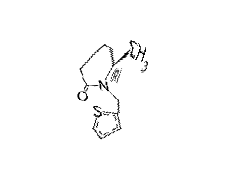 C[C@@H]1CCC(=O)N1Cc1cccs1